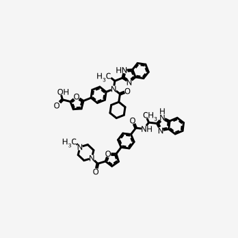 CC(NC(=O)c1ccc(-c2ccc(C(=O)N3CCN(C)CC3)o2)cc1)c1nc2ccccc2[nH]1.CC(c1nc2ccccc2[nH]1)N(C(=O)C1CCCCC1)c1ccc(-c2ccc(C(=O)O)o2)cc1